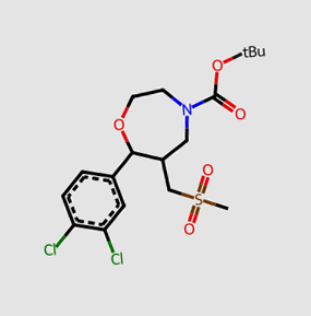 CC(C)(C)OC(=O)N1CCOC(c2ccc(Cl)c(Cl)c2)C(CS(C)(=O)=O)C1